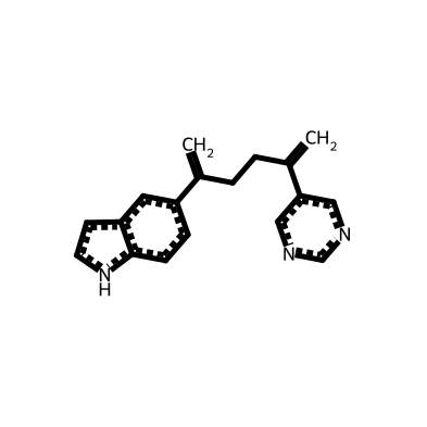 C=C(CCC(=C)c1ccc2[nH]ccc2c1)c1cncnc1